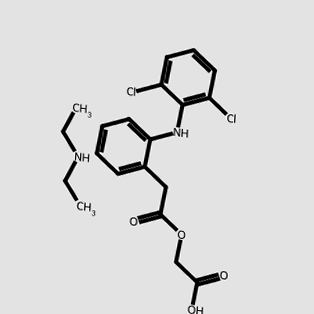 CCNCC.O=C(O)COC(=O)Cc1ccccc1Nc1c(Cl)cccc1Cl